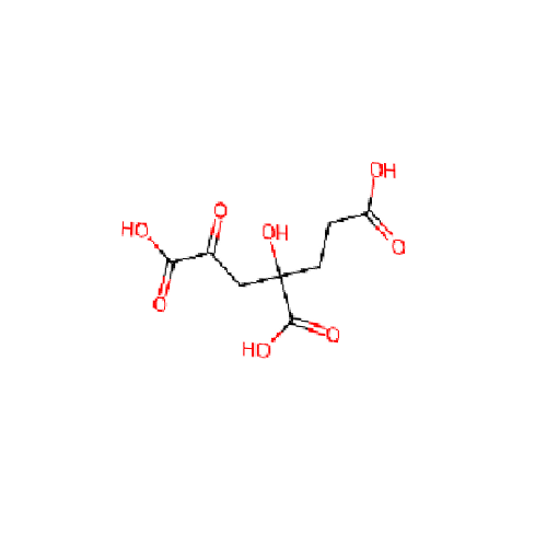 O=C(O)CCC(O)(CC(=O)C(=O)O)C(=O)O